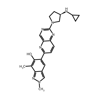 Cc1c(O)c(-c2ccc3nc(N4CC[C@@H](NC5CC5)C4)ncc3n2)cc2cn(C)nc12